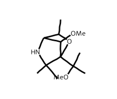 COC1C2NC(C)(C)C1(C(C)(C)OC)OC2C